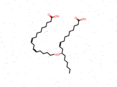 CCCCC/C=C\C/C=C\CCCCCCCC(=O)O.CCCCCC[C@@H](O)C/C=C\CCCCCCCC(=O)O